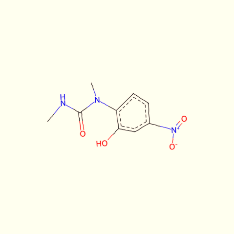 CNC(=O)N(C)c1ccc([N+](=O)[O-])cc1O